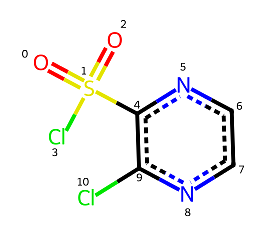 O=S(=O)(Cl)c1nccnc1Cl